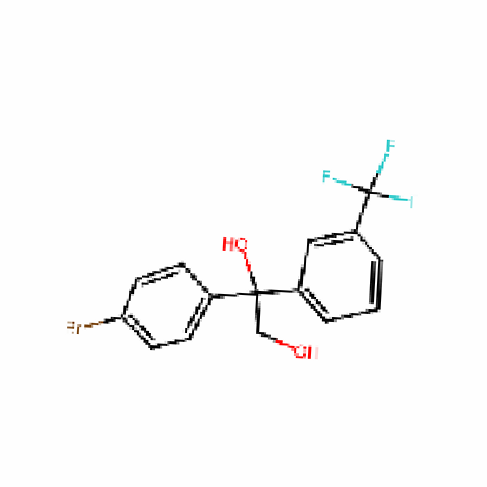 OCC(O)(c1ccc(Br)cc1)c1cccc(C(F)(F)F)c1